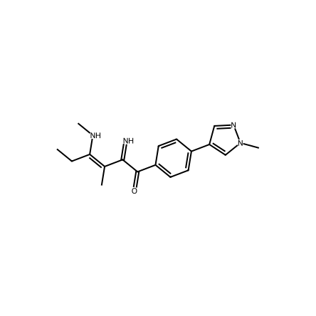 CC/C(NC)=C(\C)C(=N)C(=O)c1ccc(-c2cnn(C)c2)cc1